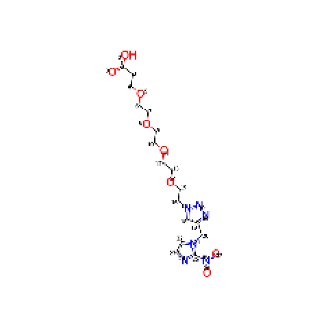 O=C(O)CCOCCOCCOCCOCCn1cc(Cn2ccnc2[N+](=O)[O-])nn1